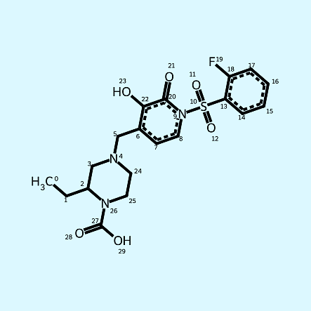 CCC1CN(Cc2ccn(S(=O)(=O)c3ccccc3F)c(=O)c2O)CCN1C(=O)O